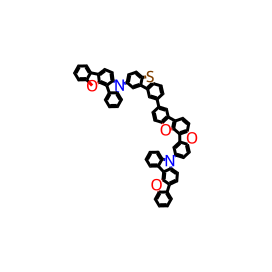 c1ccc2c(c1)oc1c2ccc2c1c1ccccc1n2-c1ccc2sc3ccc(-c4ccc5oc6c(ccc7oc8ccc(-n9c%10ccccc%10c%10c%11oc%12ccccc%12c%11ccc%109)cc8c76)c5c4)cc3c2c1